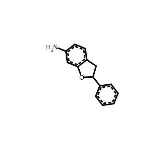 Nc1ccc2c(c1)OC(c1ccccc1)C2